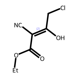 CCOC(=O)/C(C#N)=C(\O)CCl